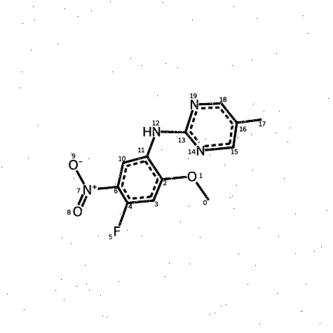 COc1cc(F)c([N+](=O)[O-])cc1Nc1ncc(C)cn1